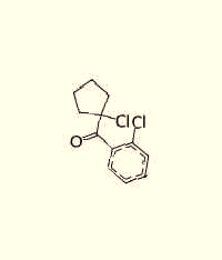 O=C(c1ccccc1Cl)C1(Cl)CCCC1